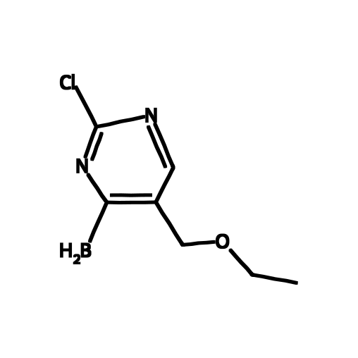 Bc1nc(Cl)ncc1COCC